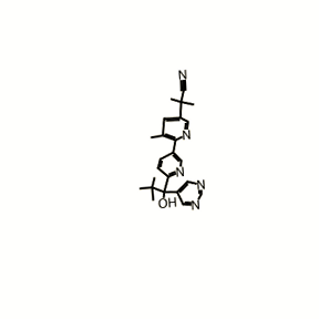 Cc1cc(C(C)(C)C#N)cnc1-c1ccc(C(O)(c2cncnc2)C(C)(C)C)nc1